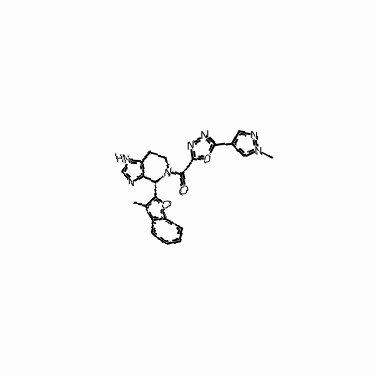 Cc1c([C@H]2c3nc[nH]c3CCN2C(=O)c2nnc(-c3cnn(C)c3)o2)oc2ccccc12